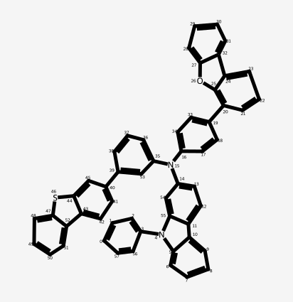 c1ccc(-n2c3ccccc3c3ccc(N(c4ccc(-c5cccc6c5oc5ccccc56)cc4)c4cccc(-c5ccc6c(c5)sc5ccccc56)c4)cc32)cc1